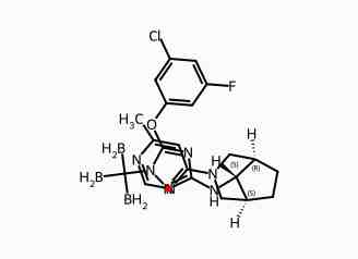 BC(B)(B)n1nc(N[C@@H]2[C@@H]3CC[C@H]2CN(c2cc(C)ncn2)C3)nc1Oc1cc(F)cc(Cl)c1